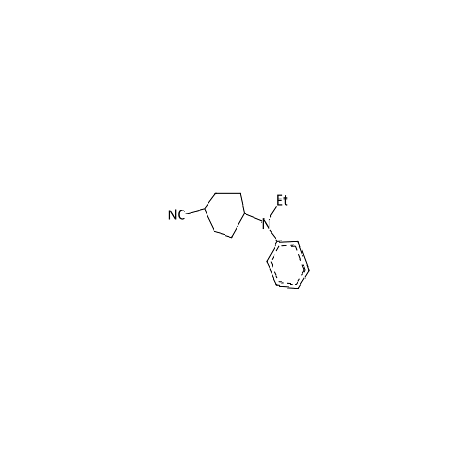 CCN(c1ccccc1)C1CCC(C#N)CC1